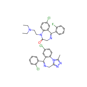 CCN(CC)CCN1C(=O)CN=C(c2ccccc2F)c2cc(Cl)ccc21.Cc1nnc2n1-c1ccc(Cl)cc1C(c1ccccc1Cl)=NC2